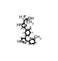 Cc1cccc(-c2n[nH]cc2-c2ccc(F)c(-c3c[nH]c(CC(C)(C)O)n3)c2)n1